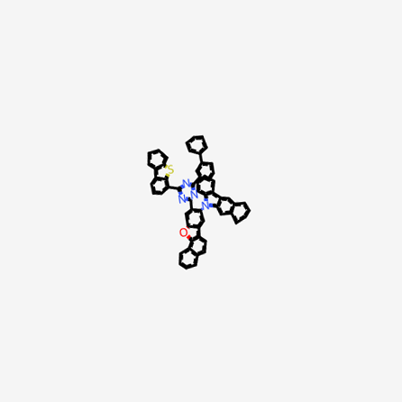 c1ccc(-c2cccc(-c3nc(-c4cc5oc6c7ccccc7ccc6c5cc4-n4c5ccccc5c5cc6ccccc6cc54)nc(-c4cccc5c4sc4ccccc45)n3)c2)cc1